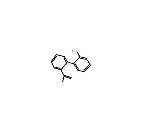 C=C(C)c1ccccc1-c1ccccc1N